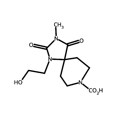 CN1C(=O)N(CCO)C2(CCN(C(=O)O)CC2)C1=O